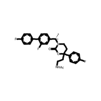 CC(=O)NCCC1(c2ccc(F)cc2)CCN([C@@H](C)c2ccc(-c3ccc(F)cc3)c(F)c2)C(=O)O1